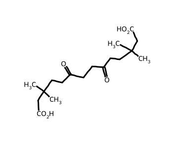 CC(C)(CCC(=O)CCC(=O)CCC(C)(C)CC(=O)O)CC(=O)O